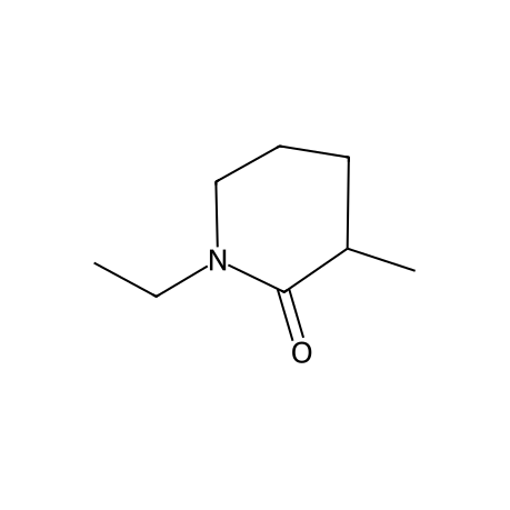 CCN1CCCC(C)C1=O